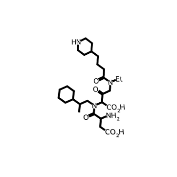 CCN(CC(=O)C(C(=O)O)N(CC(C)C1CCCCC1)C(=O)C(N)CC(=O)O)C(=O)CCCC1CCNCC1